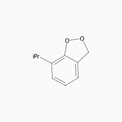 CC(C)c1cccc2c1OOC2